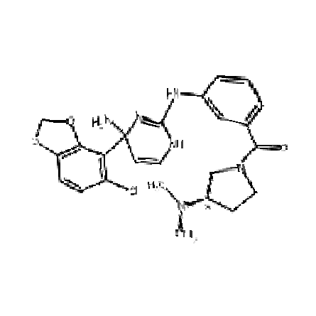 CN(C)[C@@H]1CCN(C(=O)c2cccc(NC3=NC(N)(c4c(Cl)ccc5c4OCO5)C=CN3)c2)C1